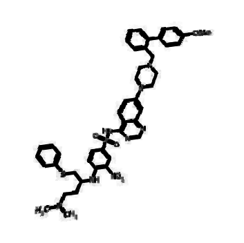 COc1ccc(-c2ccccc2CN2CCN(c3ccc4c(NS(=O)(=O)c5ccc(NC(CCN(C)C)CSc6ccccc6)c([N+](=O)[O-])c5)ncnc4c3)CC2)cc1